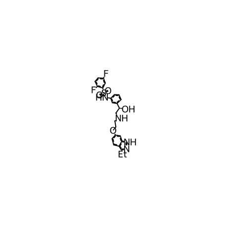 CCc1n[nH]c2cc(OCCNC[C@H](O)c3cccc(NS(=O)(=O)c4cc(F)ccc4F)c3)ccc12